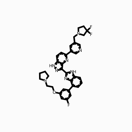 Fc1cc(OCCN2CCCC2)cc(-c2cccc3[nH]c(-c4n[nH]c5ccc(-c6cncc(CN7CCC(F)(F)C7)c6)nc45)nc23)c1